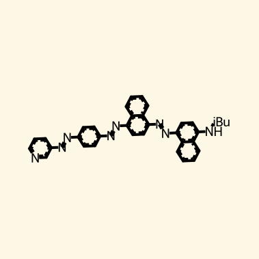 CCC(C)Nc1ccc(/N=N/c2ccc(/N=N/c3ccc(/N=N/c4cccnc4)cc3)c3ccccc23)c2ccccc12